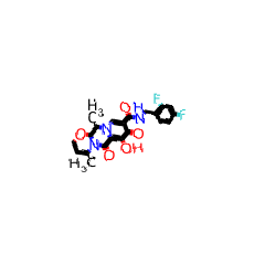 C[C@@H]1CCOC2[C@H](C)n3cc(C(=O)NCc4ccc(F)cc4F)c(=O)c(O)c3C(=O)N21